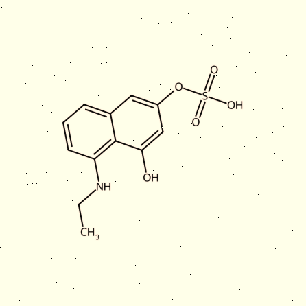 CCNc1cccc2cc(OS(=O)(=O)O)cc(O)c12